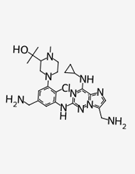 CN1CCN(c2cc(CN)cc(Nc3nc(NC4CC4)c4ncc(CN)n4n3)c2Cl)CC1C(C)(C)O